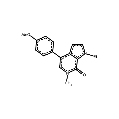 CCn1ccc2c(-c3ccc(OC)cc3)cn(C)c(=O)c21